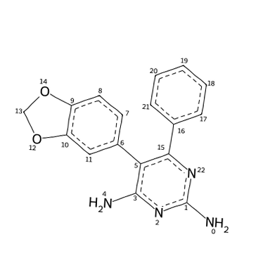 Nc1nc(N)c(-c2ccc3c(c2)OCO3)c(-c2ccccc2)n1